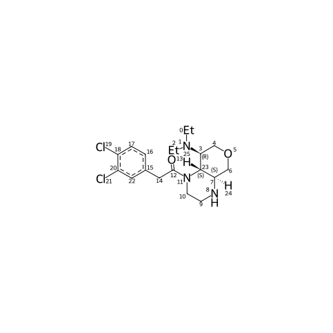 CCN(CC)[C@H]1COC[C@H]2NCCN(C(=O)Cc3ccc(Cl)c(Cl)c3)[C@@H]21